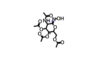 CC(=O)NC1/C(=N/O)OC(COC(C)=O)[C@@H](OC(C)=O)C1OC(C)=O